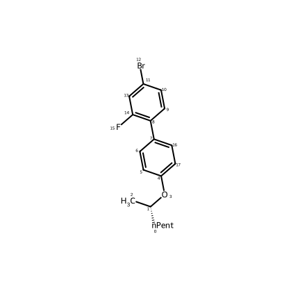 CCCCC[C@H](C)Oc1ccc(-c2ccc(Br)cc2F)cc1